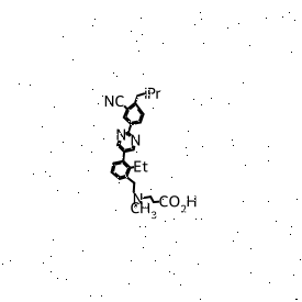 CCc1c(CCN(C)CCC(=O)O)cccc1-c1cnc(-c2ccc(CC(C)C)c(C#N)c2)nc1